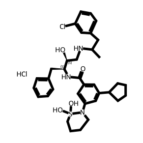 CC(Cc1cccc(Cl)c1)NC[C@H](O)[C@H](Cc1ccccc1)NC(=O)c1cc(C2CCCC2)cc(N2CCCCS2(O)O)c1.Cl